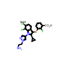 NCCn1cc(-n2c(C3CC3)c(Sc3cccc(C(=O)O)c3F)c3ccc(Cl)c(F)c32)cn1.[NaH]